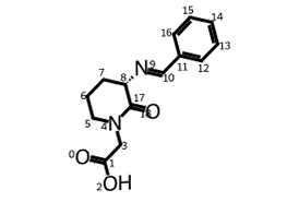 O=C(O)CN1CCC[C@H](N=Cc2ccccc2)C1=O